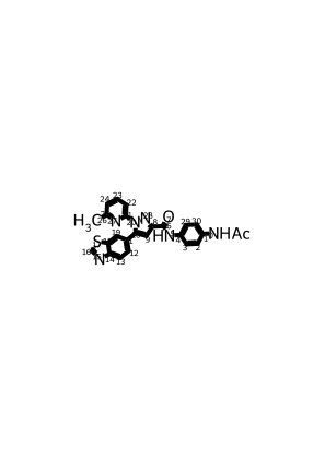 CC(=O)Nc1ccc(NC(=O)c2cc(-c3ccc4ncsc4c3)n(-c3cccc(C)n3)n2)cc1